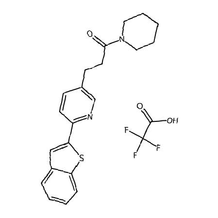 O=C(CCc1ccc(-c2cc3ccccc3s2)nc1)N1CCCCC1.O=C(O)C(F)(F)F